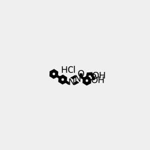 Cl.O=C(c1cccc2c1C=CS2(O)O)N1CCN(Cc2ccc(-c3ccccc3)cc2)CC1